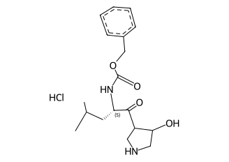 CC(C)C[C@H](NC(=O)OCc1ccccc1)C(=O)C1CNCC1O.Cl